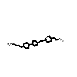 CCCCCC1CCC(c2ccc(C#Cc3ccc(CCC)cn3)cc2)CC1